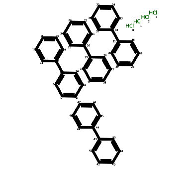 Cl.Cl.Cl.Cl.c1ccc(-c2ccccc2)cc1.c1ccc(-c2ccccc2)cc1.c1ccc(-c2ccccc2)cc1.c1ccc(-c2ccccc2)cc1